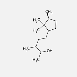 CC(O)C(C)CCC1CC[C@H](C)C1(C)C